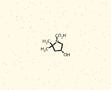 CC1(C)C[C@H](O)CN1C(=O)O